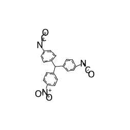 O=C=Nc1ccc(C(c2ccc(N=C=O)cc2)c2ccc([N+](=O)[O-])cc2)cc1